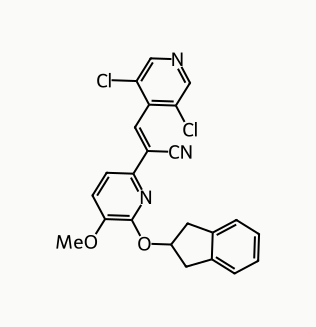 COc1ccc(C(C#N)=Cc2c(Cl)cncc2Cl)nc1OC1Cc2ccccc2C1